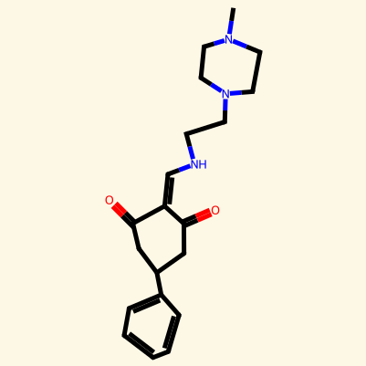 CN1CCN(CCNC=C2C(=O)CC(c3ccccc3)CC2=O)CC1